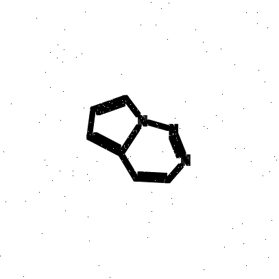 c1cc2ccnnn2c1